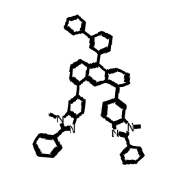 Cn1c(-c2ccccc2)nc2ccc(-c3cccc4c(-c5cccc(-c6ccccc6)c5)c5cccc(-c6ccc7nc(-c8ccccc8)n(C)c7c6)c5cc34)cc21